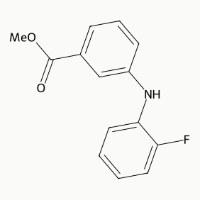 COC(=O)c1cccc(Nc2ccccc2F)c1